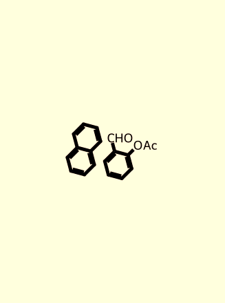 CC(=O)Oc1ccccc1C=O.c1ccc2ccccc2c1